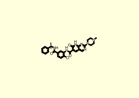 C[C@@H](NC(=O)c1ccc(Cl)c(NC(=O)c2cc3cnc(N4CCN(C)CC4)nc3[nH]c2=O)c1)c1ccccc1